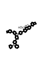 CCCCCCCCC1(CCCCCCCC)c2cc(-c3ccc(-n4c5ccc(-c6ccc7c(c6)CC7)cc5c5cc(-c6ccc7c(c6)c6ccccc6n7-c6ccccc6)ccc54)cc3)ccc2-c2ccc(-c3ccc4c(c3)CC4)cc21